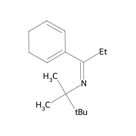 CC/C(=N/C(C)(C)C(C)(C)C)C1=CCCC=C1